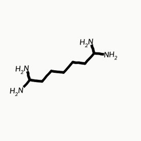 NC(N)CCCCCC(N)N